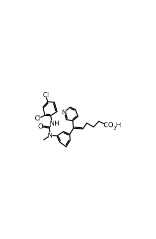 CN(C(=O)Nc1ccc(Cl)cc1Cl)c1cccc(/C(=C/CCCC(=O)O)c2cccnc2)c1